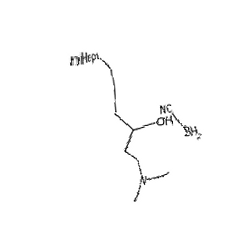 BC#N.CCCCCCCCCC(O)CN(C)C